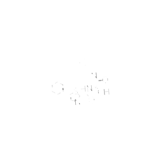 C[C@H](NC(=O)c1ncc(-c2ccccc2)s1)C(=O)N1CCC2(CC1)CC2